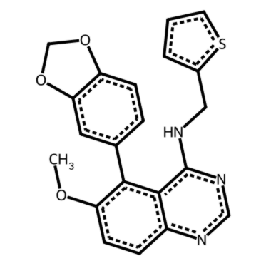 COc1ccc2ncnc(NCc3cccs3)c2c1-c1ccc2c(c1)OCO2